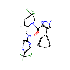 C[C@@H]1CC(F)(F)CN(C(=O)c2nn(C)cc2-c2ccccc2)[C@@H]1CNc1cnc(C(F)(F)F)cn1